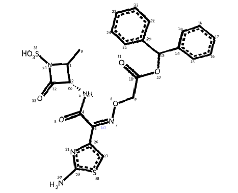 CC1[C@H](NC(=O)/C(=N\OCC(=O)OC(c2ccccc2)c2ccccc2)c2csc(N)n2)C(=O)N1S(=O)(=O)O